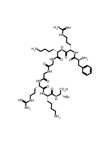 CCCC[C@H](NC(=O)[C@H](CCCCN)NC(=O)[C@H](CCCNC(=N)N)NC(=O)CNC(=O)CNC(=O)[C@H](CCCCN)NC(=O)[C@H](CCCNC(=N)N)NC(=O)[C@@H](N)Cc1ccccc1)C(=O)O